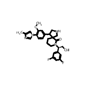 COc1cc(C2CNCC23CCCN([C@@H](CO)c2cc(F)cc(F)c2)C3=O)ccc1-n1cnc(C)c1